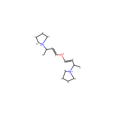 CC(C=COC=CC(C)N1CCCC1)N1CCCC1